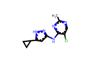 Cc1ncc(Cl)c(Nc2cc(C3CC3)[nH]n2)n1